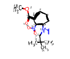 COC(=O)c1cccc(NCC(C)(C)C)c1[N+](=O)[O-]